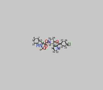 CC(=O)N[C@@H](Cc1ccccc1)C(=O)ON1CCC(OC(c2ccc(Cl)cc2)c2ccccn2)CC1